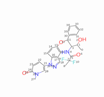 CC(O)C(NC(=O)C(C)(F)F)C(Oc1ccc2c(cnn2-c2ccc(=O)n(C)c2)c1)c1ccccc1